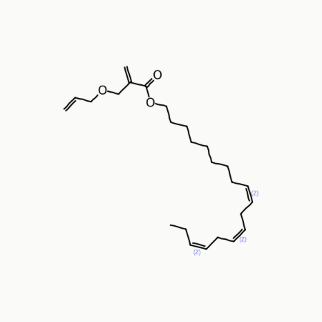 C=CCOCC(=C)C(=O)OCCCCCCCC/C=C\C/C=C\C/C=C\CC